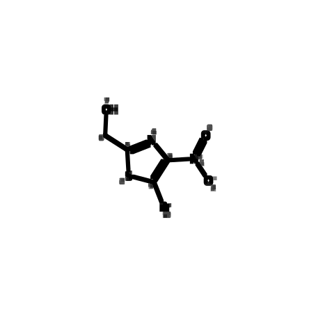 O=[N+]([O-])c1nc(CO)sc1Br